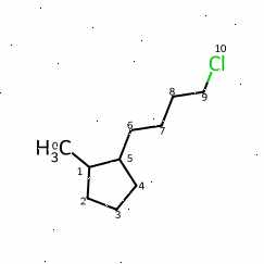 CC1CCCC1CCCCCl